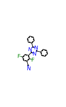 N#Cc1cc(F)cc(-c2nc(-c3ccccc3)nc(-c3ccccc3)n2)c1F